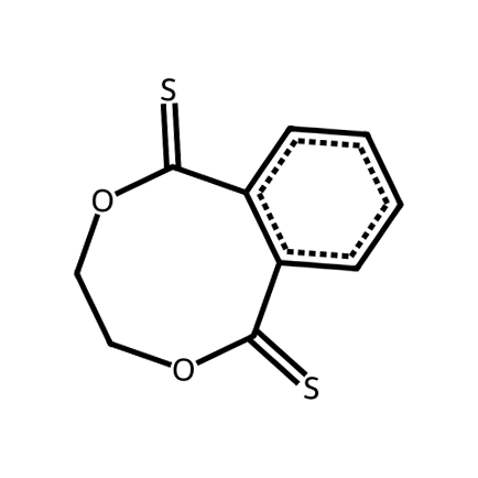 S=C1OCCOC(=S)c2ccccc21